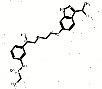 CC[S@+]([O-])Nc1cccc([C@@H](O)CNCCOc2ccc3c(C(C)C)n[nH]c3c2)c1